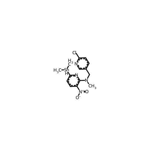 CN(Cc1ccc(Cl)nc1)c1n[c]([SnH]([CH3])[CH3])ccc1[N+](=O)[O-]